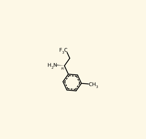 Cc1cccc([C@H](N)CC(F)(F)F)c1